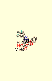 COC(=O)[C@@H](O)[C@@H]1OC2COC(c3ccccc3)O[C@@H]2[C@H](n2cc(-c3cc(F)c(F)c(F)c3)nn2)C1C